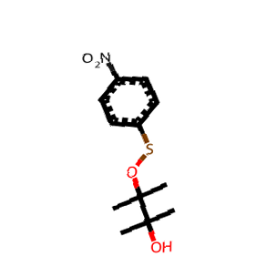 CC(C)(O)C(C)(C)OSc1ccc([N+](=O)[O-])cc1